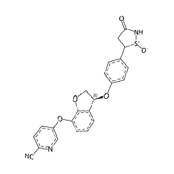 N#Cc1ccc(Oc2cccc3c2OC[C@H]3Oc2ccc(C3CC(=O)N[S+]3[O-])cc2)cn1